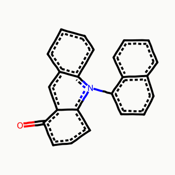 O=c1cccc2n(-c3cccc4ccccc34)c3ccccc3cc1-2